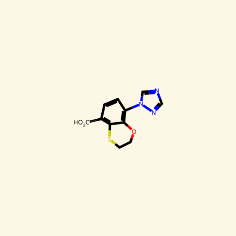 O=C(O)c1ccc(-n2cncn2)c2c1SCCO2